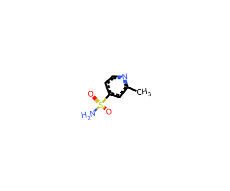 Cc1cc(S(N)(=O)=O)ccn1